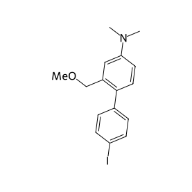 COCc1cc(N(C)C)ccc1-c1ccc(I)cc1